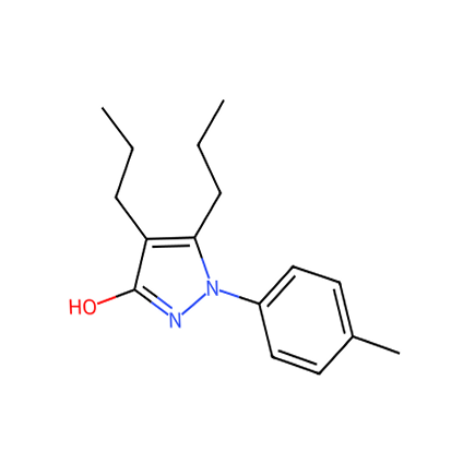 CCCc1c(O)nn(-c2ccc(C)cc2)c1CCC